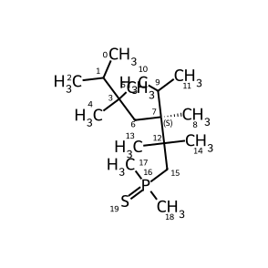 CC(C)C(C)(C)C[C@@](C)(C(C)C)C(C)(C)CP(C)(C)=S